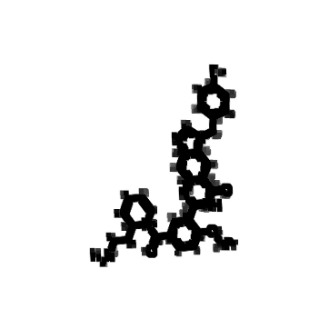 CCCOc1ccc(C(=O)N2C=CC=CC2CCN)cc1-c1nc2cc3ncn(Cc4ccc(F)cc4)c3cc2c(=O)[nH]1